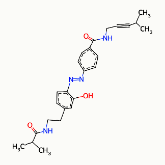 CC(C)C#CCNC(=O)c1ccc(/N=N/c2ccc(CCNC(=O)C(C)C)cc2O)cc1